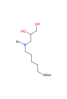 CCCCCCCCCCCCCCN(CC(O)CO)C(C)=O